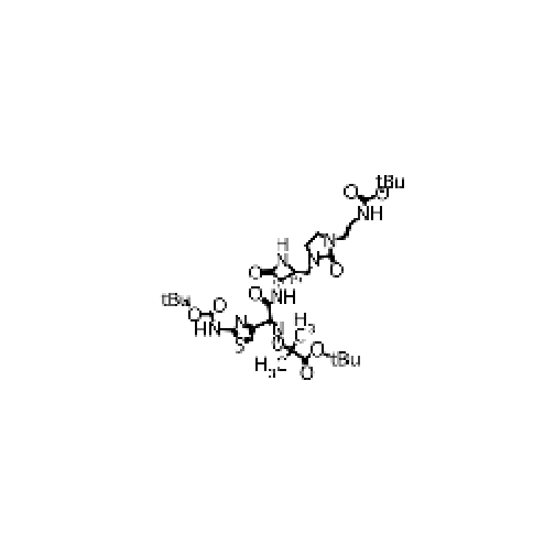 CC(C)(C)OC(=O)NCCN1CCN(C[C@@H]2NC(=O)[C@H]2NC(=O)C(=NOC(C)(C)C(=O)OC(C)(C)C)c2csc(NC(=O)OC(C)(C)C)n2)C1=O